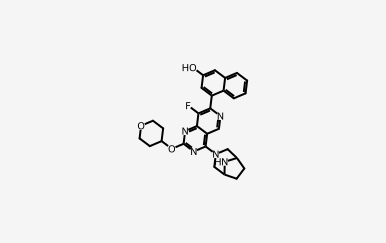 Oc1cc(-c2ncc3c(N4CC5CCC(C4)N5)nc(OC4CCOCC4)nc3c2F)c2ccccc2c1